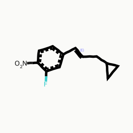 O=[N+]([O-])c1ccc(/C=C/CC2CC2)cc1F